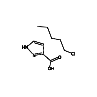 CCCCCCl.O=C(O)c1cc[nH]n1